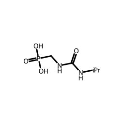 CC(C)NC(=O)NCP(=O)(O)O